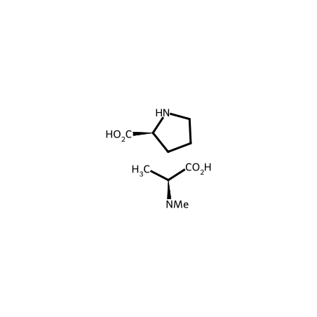 CN[C@@H](C)C(=O)O.O=C(O)[C@@H]1CCCN1